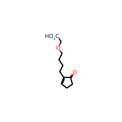 O=C(O)COCCCCC1=CCCC1=O